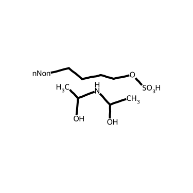 CC(O)NC(C)O.CCCCCCCCCCCCCOS(=O)(=O)O